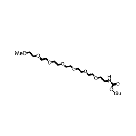 COCCOCCOCCOCCOCCOCCOCCNC(=O)OC(C)(C)C